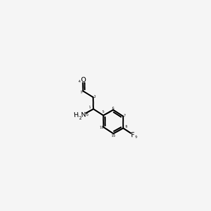 NC(CC=O)c1ccc(F)cc1